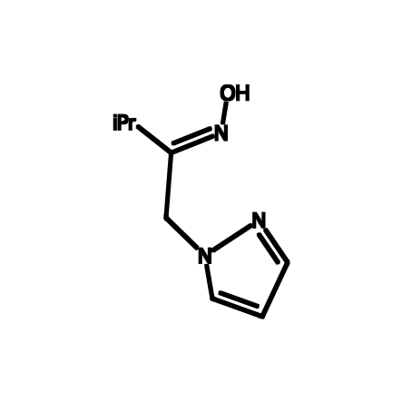 CC(C)C(Cn1cccn1)=NO